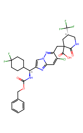 O=C(N[C@H](c1cn2nc(CC3(C(=O)O)C[C@H](C(F)(F)F)CNC3=O)c(Cl)cc2n1)C1CCC(F)(F)CC1)OCc1ccccc1